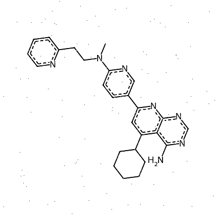 CN(CCc1ccccn1)c1ccc(-c2cc(C3CCCCC3)c3c(N)ncnc3n2)cn1